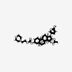 CC(=O)O[C@H]1[C@H]2O[C@]23[C@@H]2CC[C@@H]4C[C@@H](OC(=O)OCCN5CCOCC5)CC[C@]4(C)[C@H]2CC[C@]3(C)[C@H]1c1ccc(=O)oc1